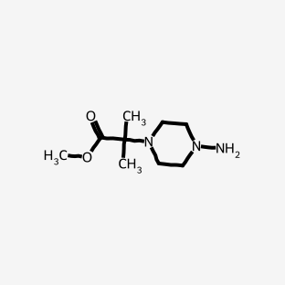 COC(=O)C(C)(C)N1CCN(N)CC1